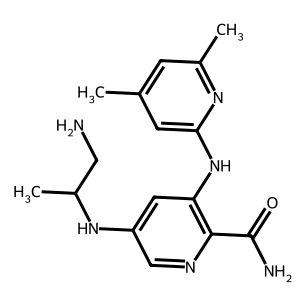 Cc1cc(C)nc(Nc2cc(NC(C)CN)cnc2C(N)=O)c1